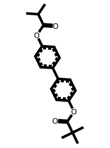 CC(C)C(=O)Oc1ccc(-c2ccc(OC(=O)C(C)(C)C)cc2)cc1